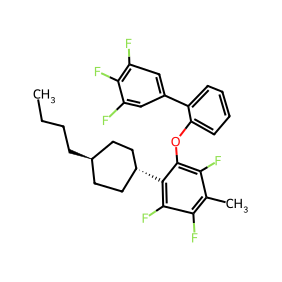 CCCC[C@H]1CC[C@H](c2c(F)c(F)c(C)c(F)c2Oc2ccccc2-c2cc(F)c(F)c(F)c2)CC1